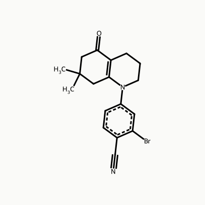 CC1(C)CC(=O)C2=C(C1)N(c1ccc(C#N)c(Br)c1)CCC2